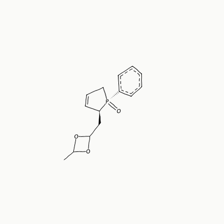 CC1OC(C[C@H]2C=CC[P@]2(=O)c2ccccc2)O1